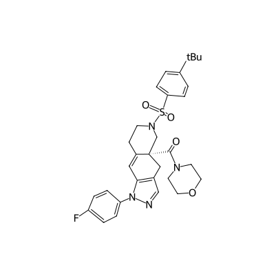 CC(C)(C)c1ccc(S(=O)(=O)N2CCC3=Cc4c(cnn4-c4ccc(F)cc4)C[C@]3(C(=O)N3CCOCC3)C2)cc1